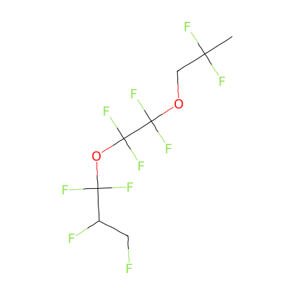 CC(F)(F)COC(F)(F)C(F)(F)OC(F)(F)C(F)CF